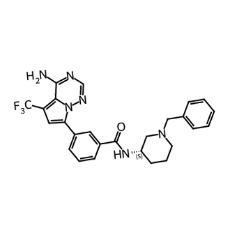 Nc1ncnn2c(-c3cccc(C(=O)N[C@H]4CCCN(Cc5ccccc5)C4)c3)cc(C(F)(F)F)c12